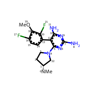 CN[C@@H]1CCN(c2nc(N)nc(N)c2-c2ccc(F)c(OC)c2F)C1